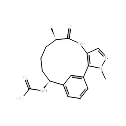 C[C@@H]1CCC[C@H](NC(=O)O)c2cccc(c2)-c2c(cnn2C)NC1=O